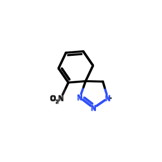 O=[N+]([O-])C1=CC=CCC12C[N]N=N2